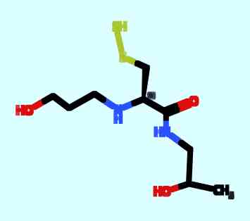 CC(O)CNC(=O)[C@H](CSS)NCCCO